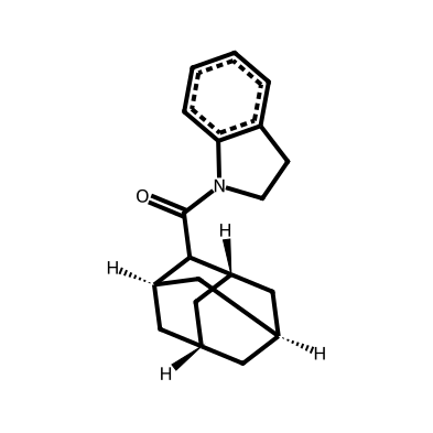 O=C(C1[C@H]2C[C@@H]3C[C@@H](C[C@H]1C3)C2)N1CCc2ccccc21